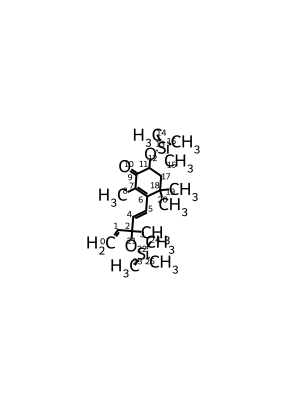 C=CC(C)(/C=C/C1=C(C)C(=O)C(O[Si](C)(C)C)CC1(C)C)O[Si](C)(C)C